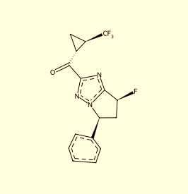 O=C(c1nc2n(n1)[C@H](c1ccccc1)C[C@@H]2F)[C@@H]1C[C@H]1C(F)(F)F